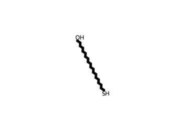 OCCCCCCCCCCCCCCCCCCCCS